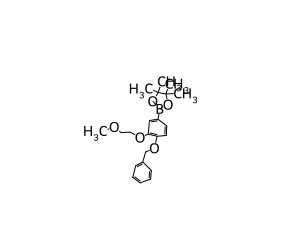 COCCOc1cc(B2OC(C)(C)C(C)(C)O2)ccc1OCc1ccccc1